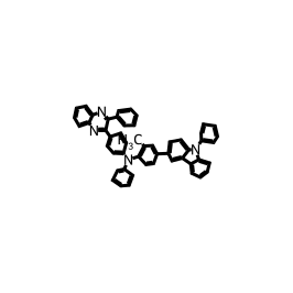 Cc1cc(-c2ccc3c(c2)c2ccccc2n3-c2ccccc2)ccc1N(c1ccccc1)c1ccc(-c2nc3ccccc3nc2-c2ccccc2)cc1